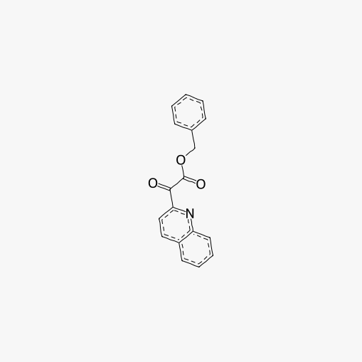 O=C(OCc1ccccc1)C(=O)c1ccc2ccccc2n1